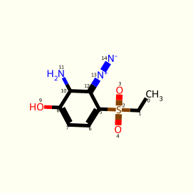 CCS(=O)(=O)C1=CC=C(O)C(N)C1=[N+]=[N-]